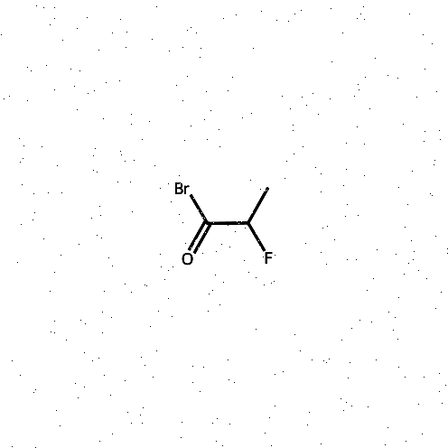 CC(F)C(=O)Br